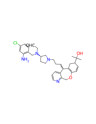 CC(C)(O)C1C=CC2=C(C1)/C(=C/CCN1CC[C@@H](N(CC=O)Cc3ccc(Cl)cc3N)C1)c1cccnc1CO2